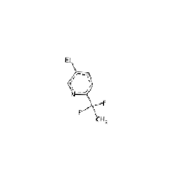 CCc1ccc(C(C)(F)F)nc1